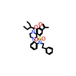 CCC(CC)C(=O)N1CCN(c2ccccc2N(CCc2ccccc2)S(=O)(=O)c2ccc3occ(C)c3c2)CC1